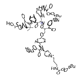 CC(C)(C)OOC(=O)NCCC[n+]1ccc(N(C(=O)OC(C)(C)C)c2ccc(OCC(O/N=C(\C(=O)N[C@@H]3C(=O)N(OS(=O)(=O)O)C3(C)C)c3csc(NC(=O)OOC(C)(C)C)n3)C(=O)OC(C)(C)C)cn2)cc1